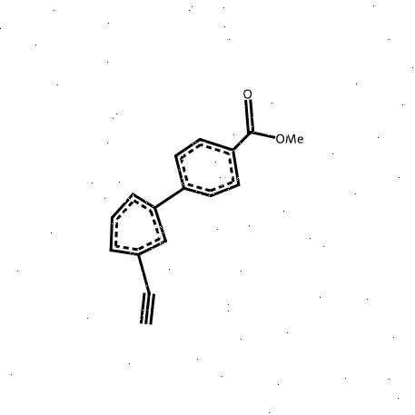 C#Cc1cccc(-c2ccc(C(=O)OC)cc2)c1